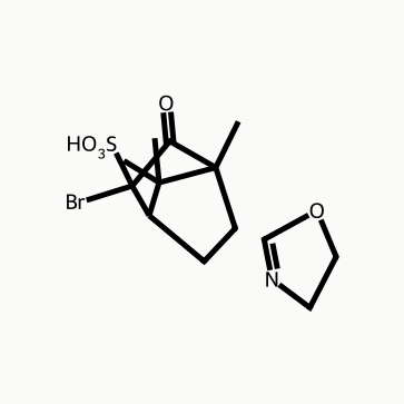 C1=NCCO1.CC12CCC(C1(C)C)C(Br)(S(=O)(=O)O)C2=O